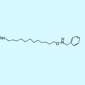 CCCCCCCCCCCCCCCCCCCCCCONCc1ccccc1